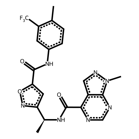 Cc1ccc(NC(=O)c2cc([C@H](C)NC(=O)c3ncnc4c3cnn4C)no2)cc1C(F)(F)F